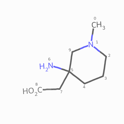 CN1CCCC(N)(CC(=O)O)C1